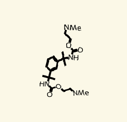 CNCCOC(=O)NC(C)(C)c1cccc(C(C)(C)NC(=O)OCCNC)c1